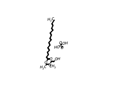 CCCCCCCCCCCCCCCCCC(=O)OC(C)N(C)CCO.O=S(=O)(O)O